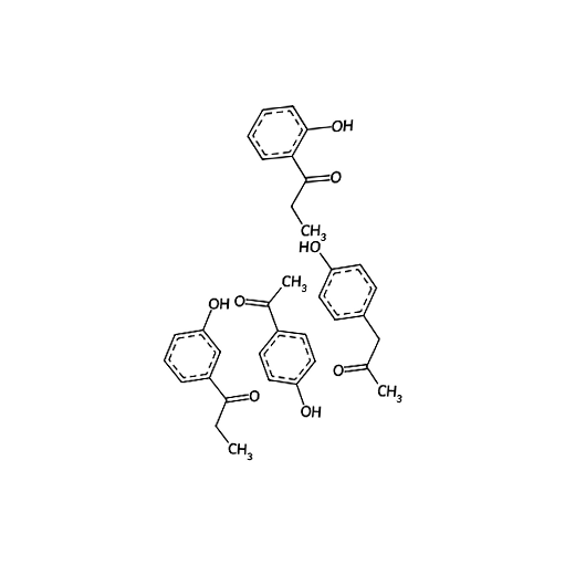 CC(=O)Cc1ccc(O)cc1.CC(=O)c1ccc(O)cc1.CCC(=O)c1cccc(O)c1.CCC(=O)c1ccccc1O